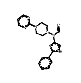 O=CN(c1c[nH]c(-c2ccccc2)n1)N1CCN(c2ncccn2)CC1